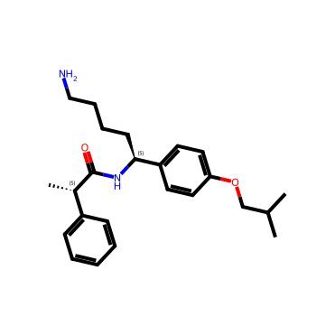 CC(C)COc1ccc([C@H](CCCCN)NC(=O)[C@@H](C)c2ccccc2)cc1